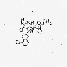 C=CC(=O)N1CCC[C@H]1Cn1nc([C@@H]2CCc3c(Cl)cccc3C2)c(C(N)=O)c1N